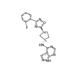 Fc1ccccc1-c1noc([C@H]2CC[C@H](Nc3ncnc4[nH]ncc34)C2)n1